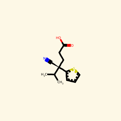 CC(C)[C@](C#N)(CCC(=O)O)c1cccs1